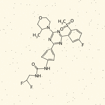 CC1COCCN1c1nc(-c2ccc(NC(=O)NCC(F)F)cc2)nc(-c2cc(F)ccc2S(C)(=O)=O)n1